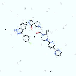 CC(=O)C1(C(=O)Nc2ccc3[nH]nc(-c4ccc(F)cc4)c3c2)CCN(CC(=O)N2CCN(c3ccc(-c4ncccn4)cn3)CC2C)C1